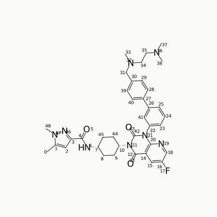 Cc1cc(C(=O)N[C@H]2CC[C@@H](n3c(=O)c4cc(F)cnc4n(-c4cccc(-c5ccc(CN(C)CCN(C)C)cc5)c4)c3=O)CC2)nn1C